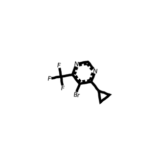 FC(F)(F)c1ncnc(C2CC2)c1Br